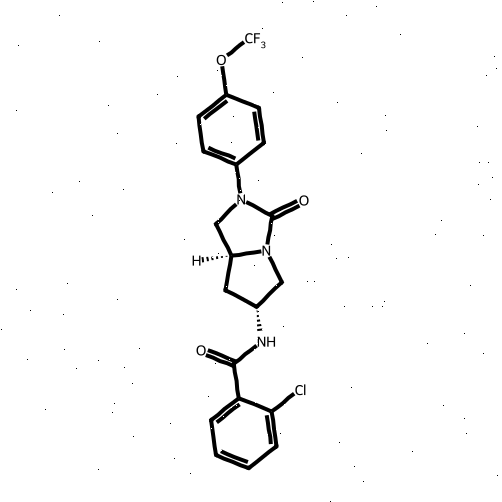 O=C(N[C@@H]1C[C@H]2CN(c3ccc(OC(F)(F)F)cc3)C(=O)N2C1)c1ccccc1Cl